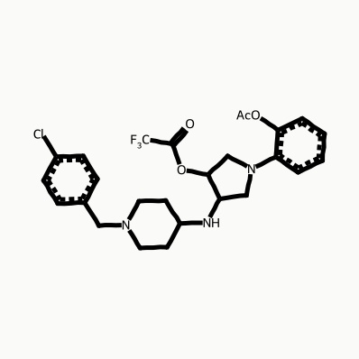 CC(=O)Oc1ccccc1N1CC(NC2CCN(Cc3ccc(Cl)cc3)CC2)C(OC(=O)C(F)(F)F)C1